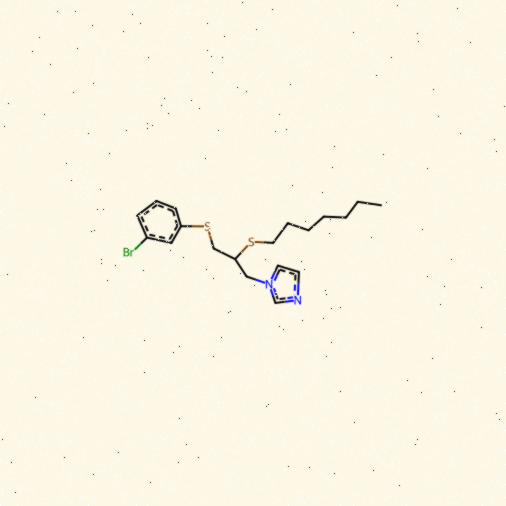 CCCCCCCSC(CSc1cccc(Br)c1)Cn1ccnc1